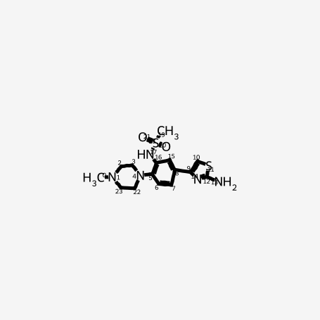 CN1CCN(c2ccc(-c3csc(N)n3)cc2NS(C)(=O)=O)CC1